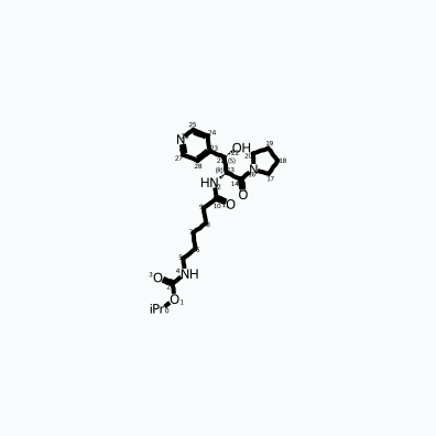 CC(C)OC(=O)NCCCCCC(=O)N[C@@H](C(=O)N1CCCC1)[C@@H](O)c1ccncc1